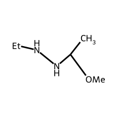 CCNNC(C)OC